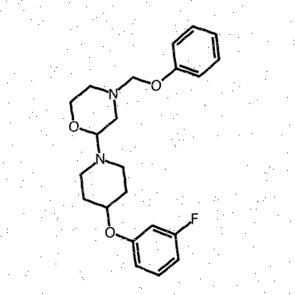 Fc1cccc(OC2CCN(C3CN(COc4ccccc4)CCO3)CC2)c1